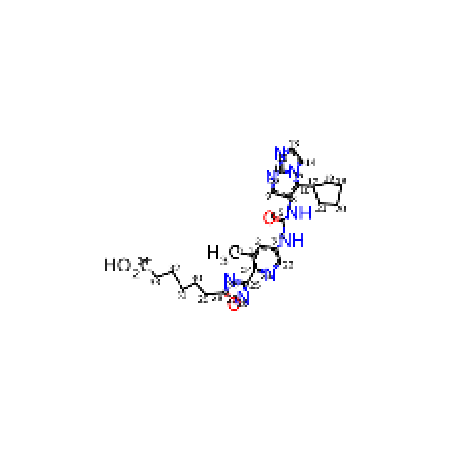 Cc1cc(NC(=O)Nc2cnc3nccn3c2C2CCCC2)cnc1-c1noc(CCCCCC(=O)O)n1